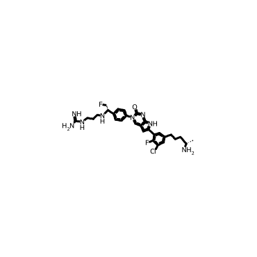 C[C@H](N)CCCc1cc(Cl)c(F)c(-c2cc3cn(-c4ccc([C@@H](CF)NCCCNC(=N)N)cc4)c(=O)nc3[nH]2)c1